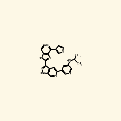 CC(C)Nc1cncc(-c2cc3c(-c4nc5c(-c6ccoc6)nccc5[nH]4)n[nH]c3cn2)c1